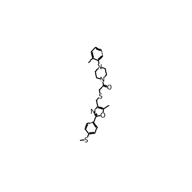 CSc1ccc(-c2nc(CSCC(=O)N3CCN(c4ccccc4C)CC3)c(C)o2)cc1